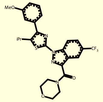 COc1cccc(-c2nc(-n3nc(C(=O)N4CCOCC4)c4cc(C(F)(F)F)ccc43)sc2C(C)C)c1